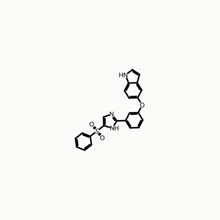 O=S(=O)(c1ccccc1)c1cnc(-c2cccc(Oc3ccc4[nH]ccc4c3)c2)[nH]1